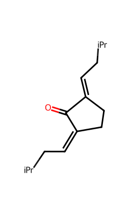 CC(C)CC=C1CCC(=CCC(C)C)C1=O